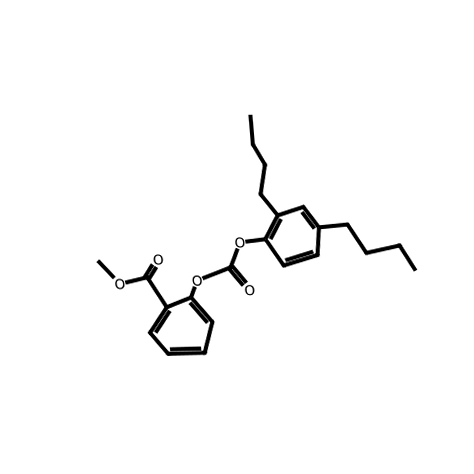 CCCCc1ccc(OC(=O)Oc2ccccc2C(=O)OC)c(CCCC)c1